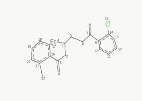 C=C(CC(CC)CCC(=C)c1ccccc1Cl)c1ccccc1C